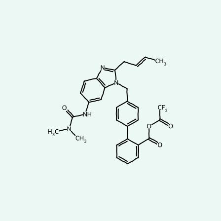 CC=CCc1nc2ccc(NC(=O)N(C)C)cc2n1Cc1ccc(-c2ccccc2C(=O)OC(=O)C(F)(F)F)cc1